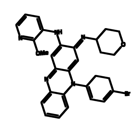 COc1ncccc1Nc1cc2nc3ccccc3n(C3=CC=C(Br)CC3)c-2c/c1=N\C1CCOCC1